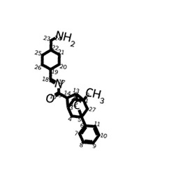 CC12CC3CC(c4ccccc4)(CC1C3C(=O)/N=C/C1CCC(CN)CC1)C2